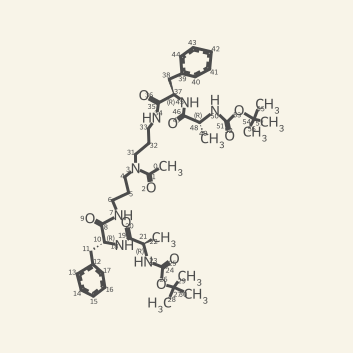 CC(=O)N(CCCNC(=O)[C@@H](Cc1ccccc1)NC(=O)[C@@H](C)NC(=O)OC(C)(C)C)CCCNC(=O)[C@@H](Cc1ccccc1)NC(=O)[C@@H](C)NC(=O)OC(C)(C)C